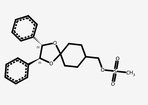 CS(=O)(=O)OCC1CCC2(CC1)O[C@@H](c1ccccc1)[C@H](c1ccccc1)O2